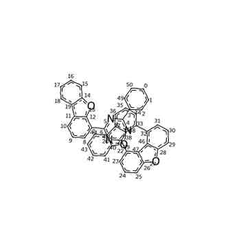 c1ccc(-c2nc(-c3cccc4c3oc3ccccc34)nc(-c3cccc4oc5cccc(-c6cccc7c6oc6ccccc67)c5c34)n2)cc1